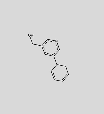 OCc1cncc(C2C=CC=CC2)c1